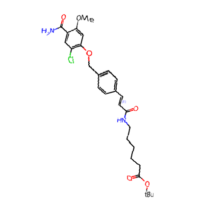 COc1cc(OCc2ccc(/C=C/C(=O)NCCCCCC(=O)OC(C)(C)C)cc2)c(Cl)cc1C(N)=O